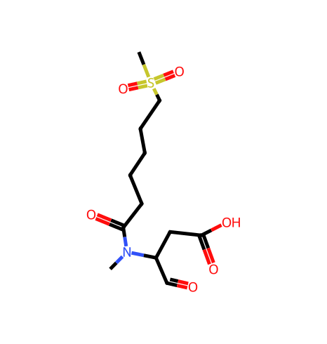 CN(C(=O)CCCCCS(C)(=O)=O)C(C=O)CC(=O)O